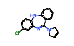 Clc1ccc2c(c1)N=C(N1CC=CC1)c1ccccc1N2